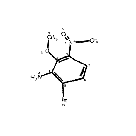 COc1c([N+](=O)[O-])ccc(Br)c1N